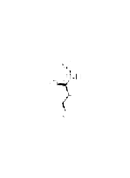 CC(=O)NC(=O)CCI